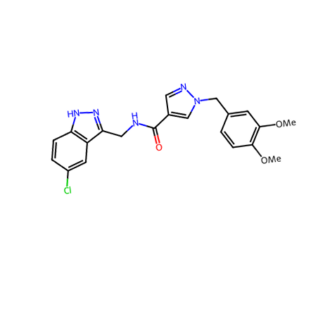 COc1ccc(Cn2cc(C(=O)NCc3n[nH]c4ccc(Cl)cc34)cn2)cc1OC